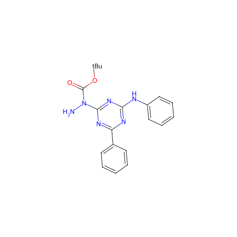 CC(C)(C)OC(=O)N(N)c1nc(Nc2ccccc2)nc(-c2ccccc2)n1